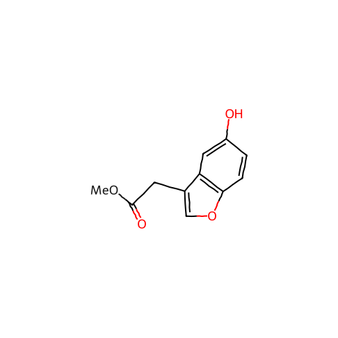 COC(=O)Cc1coc2ccc(O)cc12